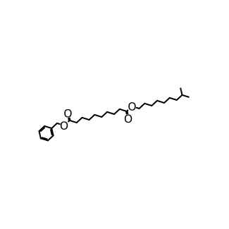 CC(C)CCCCCCCOC(=O)CCCCCCCCC(=O)OCc1ccccc1